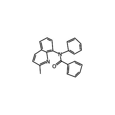 Cc1ccc2cccc(N(C(=O)c3ccccc3)c3ccccc3)c2n1